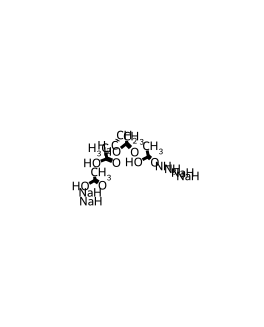 C=C.CC(=O)O.CC(=O)O.CC(=O)O.CC(=O)O.N.N.[NaH].[NaH].[NaH].[NaH]